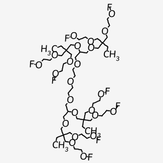 CCC(COCCOF)(COCCOF)COCC(COCCOCCOCC(COCC(CC)(COCCOF)COCCOF)OCC(CC)(COCCOF)COCCOF)OCC(CC)(COCCOF)COCCOF